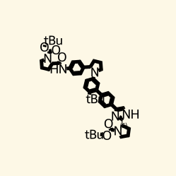 CC(C)(C)OC(=O)N1CCCC1C(=O)Nc1ccc(C2CCCN2c2ccc(C(C)(C)C)c(-c3ccc(-c4c[nH]c([C@@H]5CCCN5C(=O)OC(C)(C)C)n4)cc3)c2)cc1